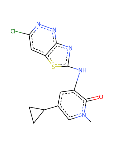 Cn1cc(C2CC2)cc(Nc2nc3nnc(Cl)cc3s2)c1=O